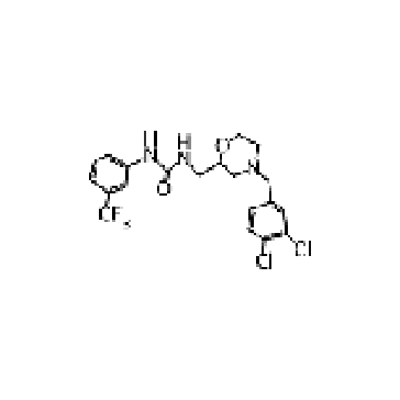 O=C(NCC1CN(Cc2ccc(Cl)c(Cl)c2)CCO1)Nc1cccc(C(F)(F)F)c1